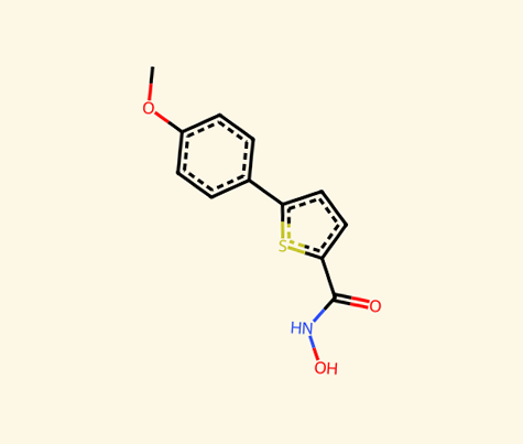 COc1ccc(-c2ccc(C(=O)NO)s2)cc1